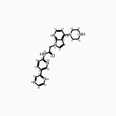 O=C(Cn1ccc2c(N3CCNCC3)ccnc21)Nc1ccc(-c2cnccn2)cn1